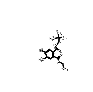 CCOC(=O)c1cc(C)c(Br)cc1C(=O)OCC(C)(C)C